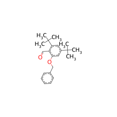 CC(C)(C)c1cc(OCc2ccccc2)c(C=O)c(C(C)(C)C)c1